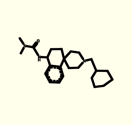 CN(C)C(=O)NC1CCC2(CCN(CC3CCCCC3)CC2)c2ccccc21